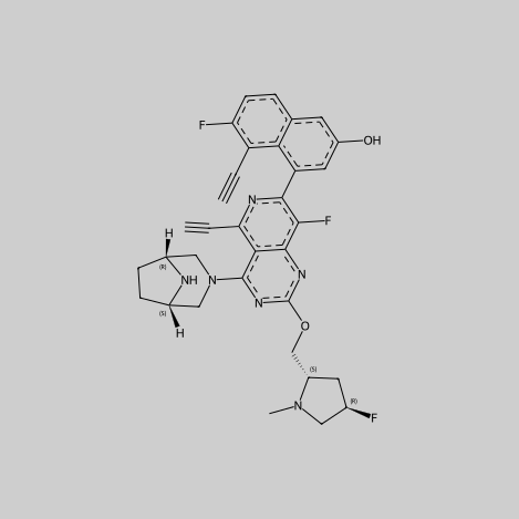 C#Cc1c(F)ccc2cc(O)cc(-c3nc(C#C)c4c(N5C[C@H]6CC[C@@H](C5)N6)nc(OC[C@@H]5C[C@@H](F)CN5C)nc4c3F)c12